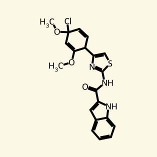 COC1=CC(Cl)(OC)C=CC1c1csc(NC(=O)c2cc3ccccc3[nH]2)n1